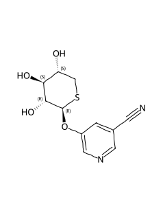 N#Cc1cncc(O[C@@H]2SC[C@@H](O)[C@H](O)[C@H]2O)c1